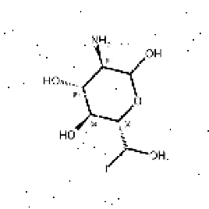 N[C@H]1C(O)O[C@H](C(O)I)[C@@H](O)[C@@H]1O